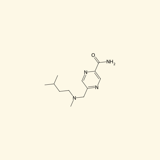 CC(C)CCN(C)Cc1cnc(C(N)=O)cn1